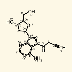 C#CCNc1cn([C@H]2C[C@H](O)[C@@H](CO)O2)c2ncnc(N)c12